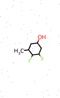 CC1CC(O)CC(F)C1F